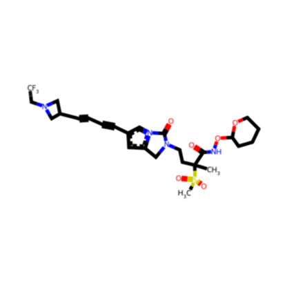 CC(CCN1Cc2cc(C#CC#CC3CN(CC(F)(F)F)C3)cn2C1=O)(C(=O)NOC1CCCCO1)S(C)(=O)=O